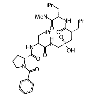 CNC(=O)[C@H](CC(C)C)NC(=O)[C@H](CC(C)C)CP(=O)(O)CNC(=O)[C@H](CC(C)C)NC(=O)[C@H]1CCCN1C(=O)c1ccccc1